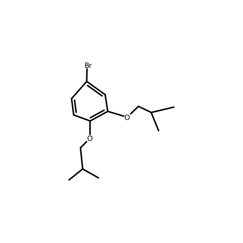 CC(C)COc1ccc(Br)cc1OCC(C)C